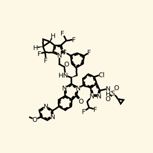 COc1cnc(-c2ccc3c(=O)n(-c4ccc(Cl)c5c(NS(=O)(=O)C6CC6)nn(CC(F)F)c45)c([C@H](Cc4cc(F)cc(F)c4)NC(=O)Cn4nc(C(F)F)c5c4C(F)(F)[C@@H]4C[C@H]54)nc3c2)nc1